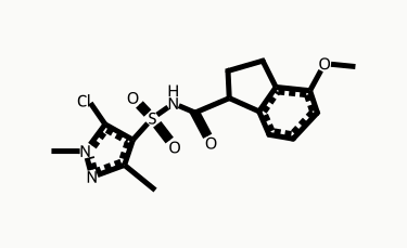 COc1cccc2c1CCC2C(=O)NS(=O)(=O)c1c(C)nn(C)c1Cl